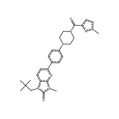 Cn1ccc(C(=O)N2CCN(c3ccc(-c4ccc5c(n4)n(C)c(=O)n5CC(C)(C)C)cc3)CC2)n1